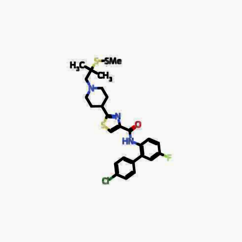 CSSC(C)(C)CN1CCC(c2nc(C(=O)Nc3ccc(F)cc3-c3ccc(Cl)cc3)cs2)CC1